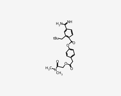 CN(C)C(=O)COC(=O)Cc1ccc(OC(=O)c2ccc(C(=N)N)cc2CC(C)(C)C)cc1